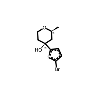 C[C@H]1C[C@@](O)(c2ccc(Br)s2)CCO1